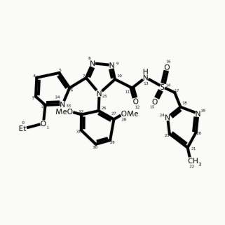 CCOc1cccc(-c2nnc(C(=O)NS(=O)(=O)Cc3ncc(C)cn3)n2-c2c(OC)cccc2OC)n1